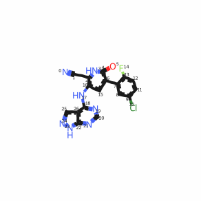 N#Cc1[nH]c(=O)c(-c2cc(Cl)ccc2F)cc1Nc1ncnc2[nH]ncc12